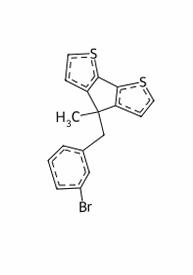 CC1(Cc2cccc(Br)c2)c2ccsc2-c2sccc21